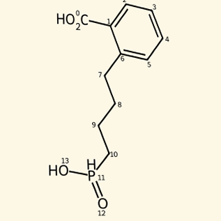 O=C(O)c1ccccc1CCCC[PH](=O)O